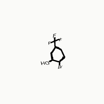 OC1CC(C(F)(F)F)CC=C1Br